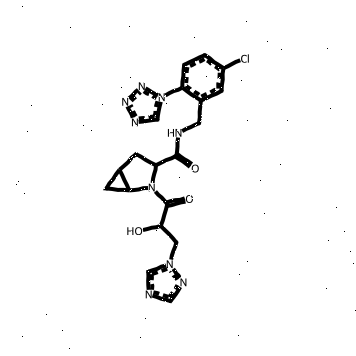 O=C(NCc1cc(Cl)ccc1-n1cnnn1)C1CC2CC2N1C(=O)C(O)Cn1cncn1